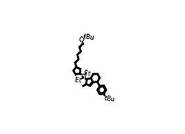 CC[Si](CC)(C1CCC(CCCCCCOC(C)(C)C)C1)C1C(C)C=C2C(c3ccc(C(C)(C)C)cc3)CCCC21